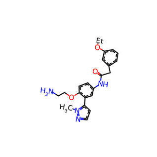 CCOc1cccc(CC(=O)Nc2ccc(OCCN)c(-c3ccnn3C)c2)c1